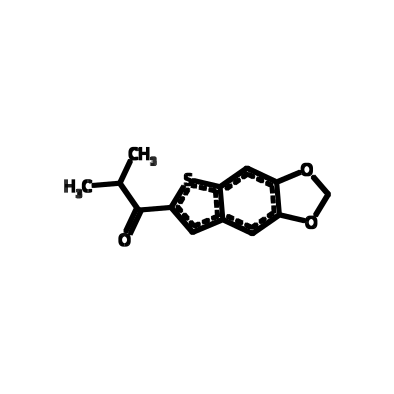 CC(C)C(=O)c1cc2cc3c(cc2s1)OCO3